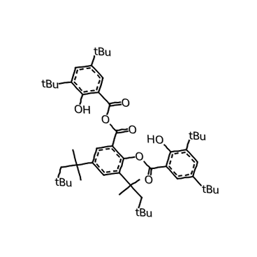 CC(C)(C)CC(C)(C)c1cc(C(=O)OC(=O)c2cc(C(C)(C)C)cc(C(C)(C)C)c2O)c(OC(=O)c2cc(C(C)(C)C)cc(C(C)(C)C)c2O)c(C(C)(C)CC(C)(C)C)c1